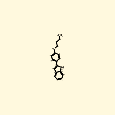 CCCCSc1ccc(-c2cc3ccccc3[nH]2)cc1